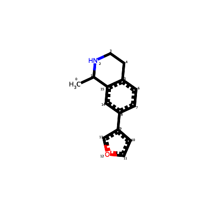 CC1NCCc2ccc(-c3ccoc3)cc21